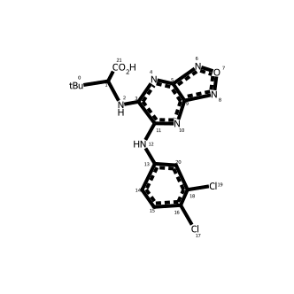 CC(C)(C)C(Nc1nc2nonc2nc1Nc1ccc(Cl)c(Cl)c1)C(=O)O